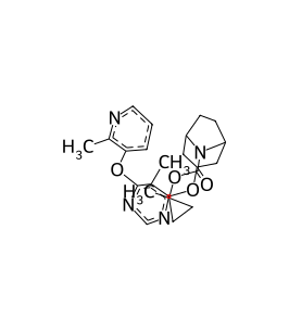 Cc1ncccc1Oc1ncnc(OC2CC3CCC(C2)N3C(=O)OC2(C)CC2)c1C